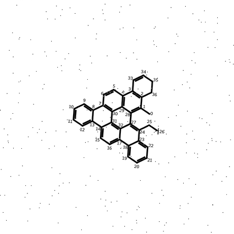 Cc1c2c(c3ccc4c5ccccc5c5ccc6c7ccccc7c(CI)c7c1c3c4c5c67)C=CCC2